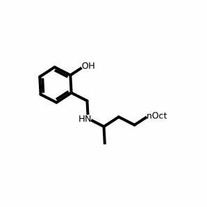 CCCCCCCCCCC(C)NCc1ccccc1O